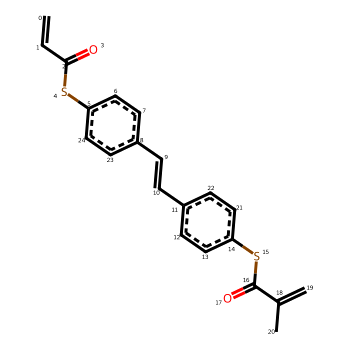 C=CC(=O)Sc1ccc(/C=C/c2ccc(SC(=O)C(=C)C)cc2)cc1